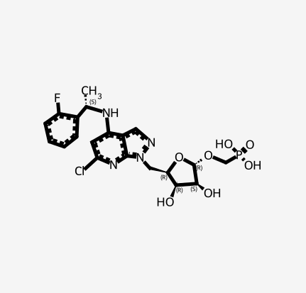 C[C@H](Nc1cc(Cl)nc2c1cnn2C[C@H]1O[C@H](OCP(=O)(O)O)[C@@H](O)[C@H]1O)c1ccccc1F